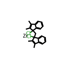 CC1=C(C)C(Cl)(CC2(Cl)C(C)=C(C)c3ccccc32)c2ccccc21.[Zr]